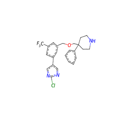 FC(F)(F)c1cc(COCC2(c3ccccc3)CCNCC2)cc(-c2cnc(Cl)nc2)c1